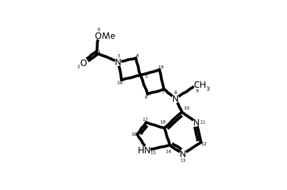 COC(=O)N1CC2(CC(N(C)c3ncnc4[nH]ccc34)C2)C1